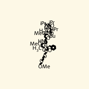 CC[C@H](C)[C@@H]([C@@H](CC(=O)C1CC[C@@H]([C@H](OC)[C@@H](C)C(=O)N[C@@H](Cc2ccccc2)C(=O)OCCOCCOCCOC)N1)OC)N(C)C(=O)[C@@H](NC(=O)[C@H](C(C)C)N(C)C(C)C)C(C)C